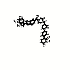 CC1(C)CCc2c(-c3cc4ccc(C(=O)N5CCN(CC6CCN(c7ccc(C8CCC(=O)NC8=O)cn7)CC6)CC5)cc4[nH]3)n[nH]c2C1